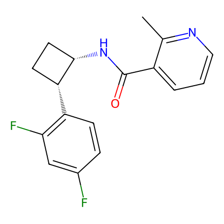 Cc1ncccc1C(=O)N[C@H]1CC[C@H]1c1ccc(F)cc1F